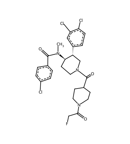 CN(C(=O)c1ccc(Cl)cc1)[C@@H]1CCN(C(=O)C2CCN(C(=O)CF)CC2)C[C@H]1c1ccc(Cl)c(Cl)c1